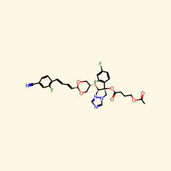 CC(=O)OCCCC(=O)O[C@@](Cn1cncn1)(c1ccc(F)cc1F)[C@@H](C)S[C@H]1CO[C@H](/C=C/C=C/c2ccc(C#N)cc2F)OC1